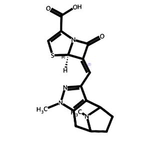 CN1C2CCC1c1c(/C=C3/C(=O)N4C(C(=O)O)=CS[C@H]34)nn(C)c1C2